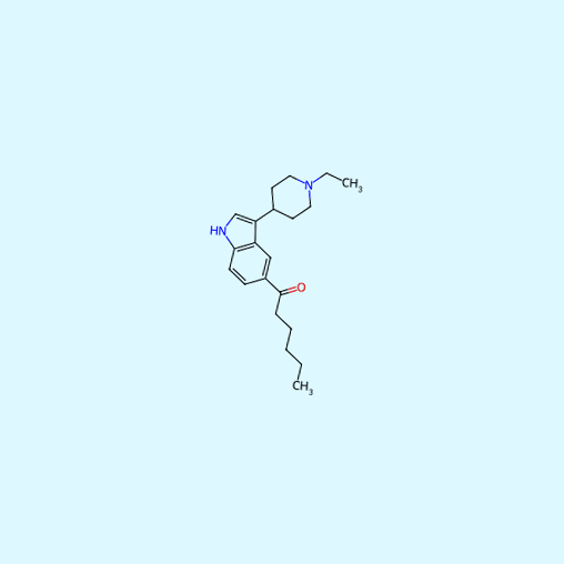 CCCCCC(=O)c1ccc2[nH]cc(C3CCN(CC)CC3)c2c1